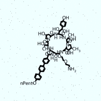 CCCCCOc1ccc(-c2ccc(-c3ccc(C(=O)N[C@@H]4C(=O)NC([C@@H](C)O)C(=O)N5C[C@H](O)CC5C(=O)NC([C@H](O)[C@@H](O)c5ccc(O)cc5)C(=O)NC([C@@H](C)O)C(=O)N5C[C@H](C)[C@H](O)C5C(=O)NC(OCCOCCN)[C@@H]4O)cc3)cc2)cc1